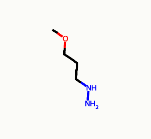 COCCCNN